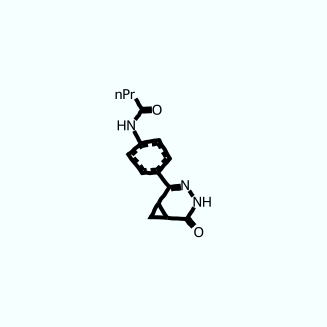 CCCC(=O)Nc1ccc(C2=NNC(=O)C3CC23)cc1